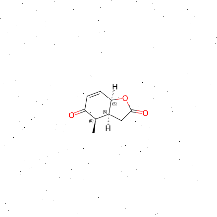 C[C@H]1C(=O)C=C[C@H]2OC(=O)C[C@H]21